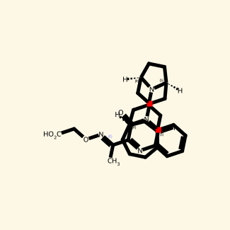 C/C(=N\OCC(=O)O)c1nc2ccccc2n(C2C[C@H]3CC[C@@H](C2)N3C2C[C@H]3CCCC[C@@H](C2)C3)c1=O